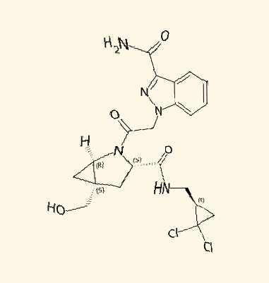 NC(=O)c1nn(CC(=O)N2[C@H](C(=O)NC[C@H]3CC3(Cl)Cl)C[C@@]3(CO)C[C@@H]23)c2ccccc12